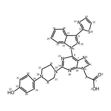 O=C(O)Cn1cnc2c(-n3nc(-c4nccs4)c4ccccc43)nc(N3CCN(c4ccc(O)cc4)CC3)nc21